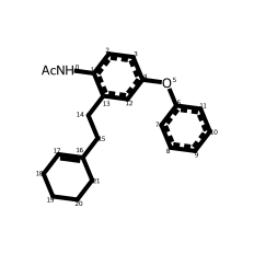 CC(=O)Nc1ccc(Oc2ccccc2)cc1CCC1=CCCCC1